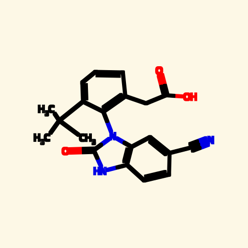 CC(C)(C)c1cccc(CC(=O)O)c1-n1c(=O)[nH]c2ccc(C#N)cc21